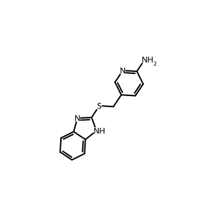 Nc1ccc(CSc2nc3ccccc3[nH]2)cn1